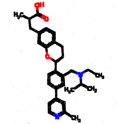 CCN(Cc1cc(-c2ccnc(C)c2)ccc1C1CCc2ccc(CC(C)C(=O)O)cc2O1)C(C)C